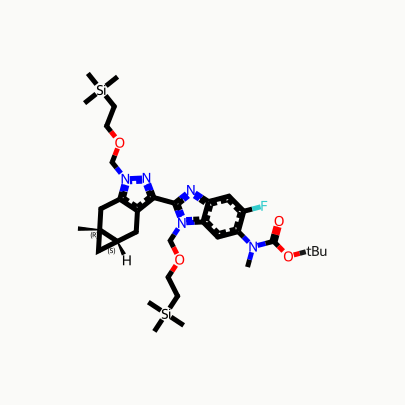 CN(C(=O)OC(C)(C)C)c1cc2c(cc1F)nc(-c1nn(COCC[Si](C)(C)C)c3c1C[C@@H]1C[C@]1(C)C3)n2COCC[Si](C)(C)C